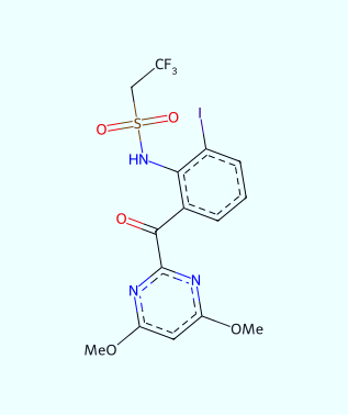 COc1cc(OC)nc(C(=O)c2cccc(I)c2NS(=O)(=O)CC(F)(F)F)n1